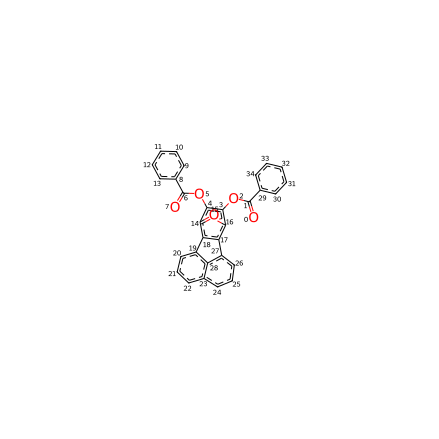 O=C(Oc1c(OC(=O)c2ccccc2)c2oc1c1c2-c2cccc3cccc-1c23)c1ccccc1